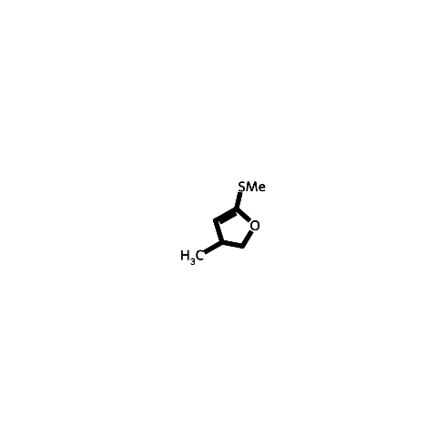 CSC1=CC(C)CO1